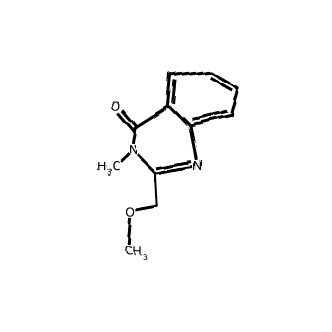 COCc1nc2ccccc2c(=O)n1C